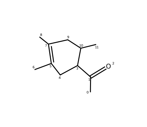 CC(=O)C1CC(C)=C(C)CC1C